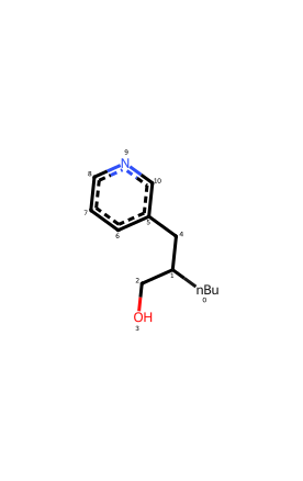 CCCCC(CO)Cc1cccnc1